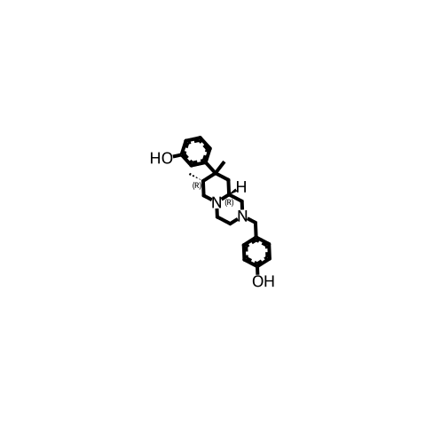 C[C@H]1CN2CCN(Cc3ccc(O)cc3)C[C@H]2CC1(C)c1cccc(O)c1